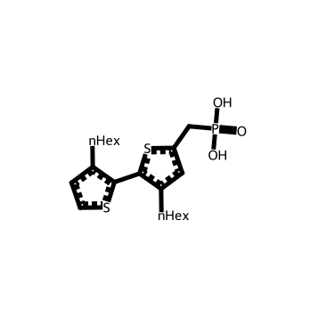 CCCCCCc1ccsc1-c1sc(CP(=O)(O)O)cc1CCCCCC